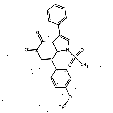 COc1ccc(C2=CC(=O)C(=O)C3C(c4ccccc4)=CN(S(C)(=O)=O)C23)cc1